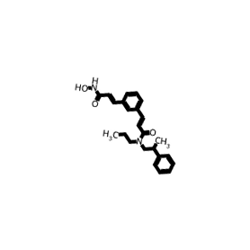 CCCN(CC(C)c1ccccc1)C(=O)/C=C/c1cccc(/C=C/C(=O)NO)c1